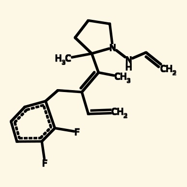 C=CNN1CCCC1(C)/C(C)=C(/C=C)Cc1cccc(F)c1F